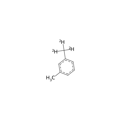 [2H]C([2H])([2H])c1cccc(C)c1